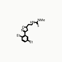 CCc1ccc(CC)c(C2=NOC(CCNC(=S)NC)C2)c1